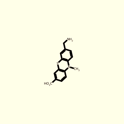 CN1c2ccc(CN)cc2Sc2cc(C(=O)O)ccc21